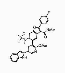 CNC(=O)c1c(-c2ccc(F)cc2)oc2cc(N(C)S(C)(=O)=O)c(-c3cc(-c4cc5ccccc5[nH]4)cnc3OC)cc12